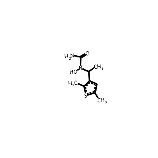 Cc1cc(C(C)N(O)C(N)=O)c(C)s1